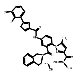 CCCCN(CCCC)C(=O)c1cc(C)n(-c2ccc(NC(=O)C3=CCC(c4cccc(Cl)c4Cl)=C3)cc2C(=O)N2Cc3ccccc3C[C@H]2CO)n1